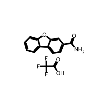 NC(=O)c1ccc2c(c1)oc1ccccc12.O=C(O)C(F)(F)F